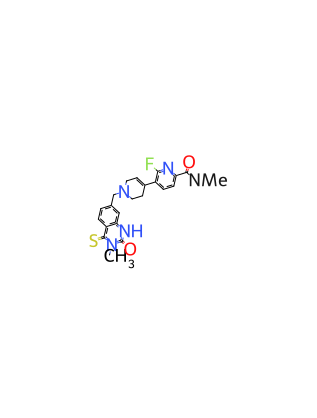 CNC(=O)c1ccc(C2=CCN(Cc3ccc4c(=S)n(C)c(=O)[nH]c4c3)CC2)c(F)n1